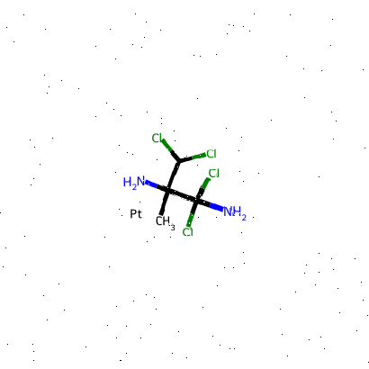 CC(N)(C(Cl)Cl)C(N)(Cl)Cl.[Pt]